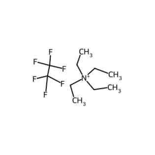 CC[N+](CC)(CC)CC.FC(F)(F)C(F)(F)F